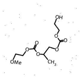 COCCOC(=O)OC(C)COC(=O)OCCO